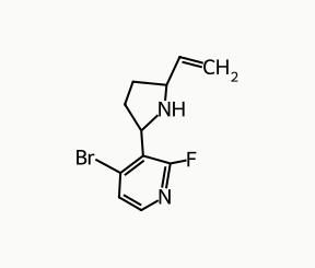 C=CC1CCC(c2c(Br)ccnc2F)N1